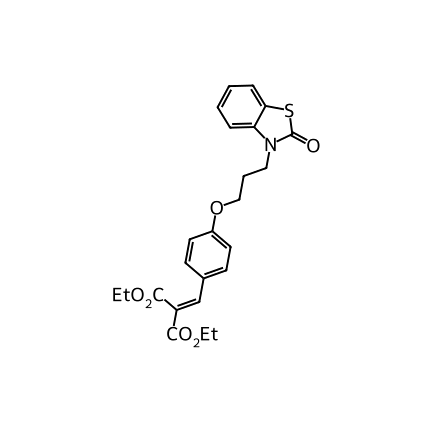 CCOC(=O)C(=Cc1ccc(OCCCn2c(=O)sc3ccccc32)cc1)C(=O)OCC